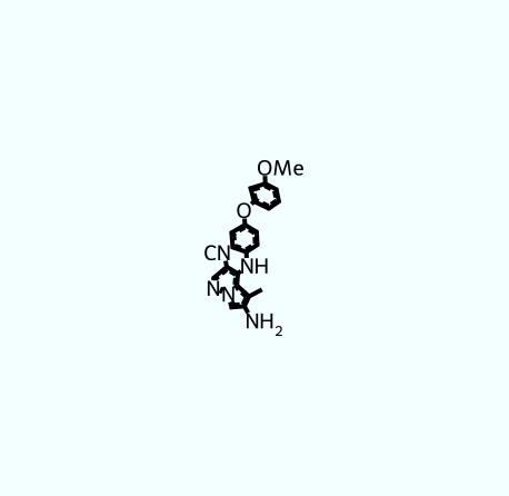 COc1cccc(Oc2ccc(Nc3c(C#N)cnn4cc(N)c(C)c34)cc2)c1